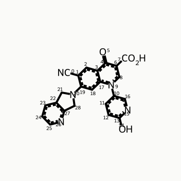 N#Cc1cc2c(=O)c(C(=O)O)cn(-c3ccc(O)nc3)c2cc1N1Cc2cccnc2C1